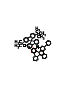 CC(C)(C)c1ccc2c(c1)C1(c3cc(C(C)(C)C)ccc3-2)c2ccccc2-c2c(N(c3cc(-c4ccccc4)cc(-c4ccccc4)c3)c3ccccc3-c3ccccc3-c3ccccc3-c3ccccc3)cccc21